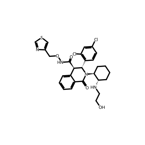 O=C(NOCc1cscn1)[C@@H]1c2ccccc2C(=O)N([C@H]2CCCC[C@@H]2NCCO)[C@H]1c1ccc(Cl)cc1Cl